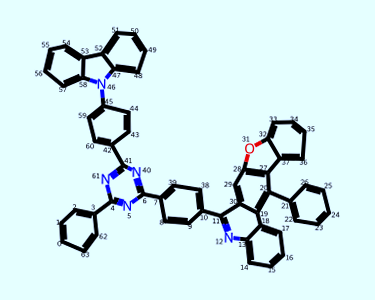 c1ccc(-c2nc(-c3ccc(-c4nc5ccccc5c5c(-c6ccccc6)c6c(cc45)oc4ccccc46)cc3)nc(-c3ccc(-n4c5ccccc5c5ccccc54)cc3)n2)cc1